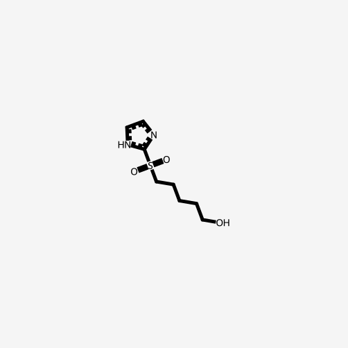 O=S(=O)(CCCCCO)c1ncc[nH]1